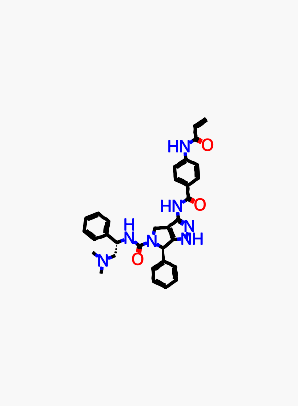 C=CC(=O)Nc1ccc(C(=O)Nc2n[nH]c3c2CN(C(=O)N[C@H](CN(C)C)c2ccccc2)[C@@H]3c2ccccc2)cc1